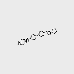 CN1CCN(C(C)(C)c2ccc(-c3ccc(COC4CCCC4)cc3)cc2)CC1